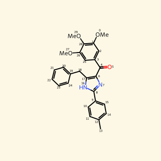 COc1cc(C(=O)c2nc(-c3ccc(C)cc3)[nH]c2Cc2ccccc2)cc(OC)c1OC